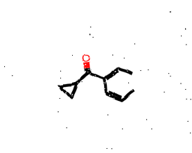 C/C=C\C(=C/C)C(=O)C1CC1